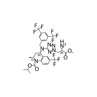 COC(=O)[C@H](N)Cn1nnc(N(Cc2cc(C(F)(F)F)cc(C(F)(F)F)c2)[C@@H]2C[C@H](C)N(C(=O)OC(C)C)c3ccc(C(F)(F)F)cc32)n1